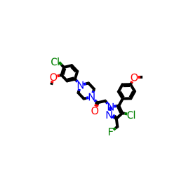 COc1ccc(-c2c(Cl)c(CF)nn2CC(=O)N2CCN(c3ccc(Cl)c(OC)c3)CC2)cc1